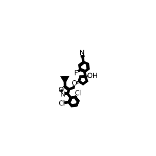 N#Cc1ccc([C@]2(O)CC[C@H](OCc3c(-c4c(Cl)cccc4Cl)noc3C3CC3)C2)c(F)c1